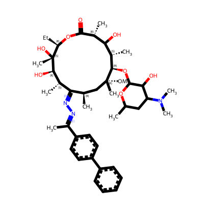 CC[C@H]1OC(=O)[C@H](C)C(O)[C@H](C)[C@@H](OC2OC(C)CC(N(C)C)C2O)[C@](C)(OC)C[C@@H](C)/C(=N\N=C(/C)c2ccc(-c3ccccc3)cc2)[C@H](C)[C@@H](O)[C@]1(C)O